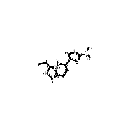 CCc1nnc2ccc(-c3cnc(N(C)C)s3)nn12